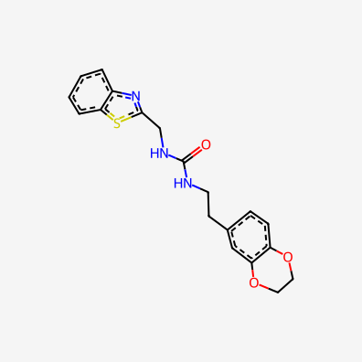 O=C(NCCc1ccc2c(c1)OCCO2)NCc1nc2ccccc2s1